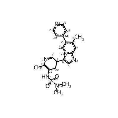 Cc1cc2ncc(C3C=NC(Cl)=C(NS(=O)(=O)N(C)C)C3)n2cc1-c1ccncc1